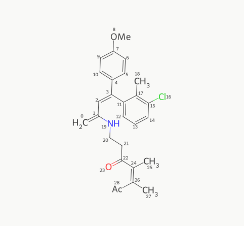 C=C(/C=C(/c1ccc(OC)cc1)c1cccc(Cl)c1C)NCCC(=O)/C(C)=C(/C)C(C)=O